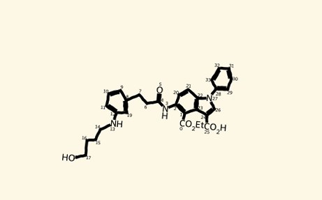 CCOC(=O)c1c(NC(=O)CCc2cccc(NCCCCO)c2)ccc2c1c(C(=O)O)cn2-c1ccccc1